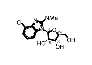 CNc1nc2c(Cl)cccc2n1[C@H]1O[C@@H](CO)[C@H](O)[C@@H]1O